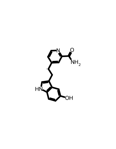 NC(=O)c1cc([CH]Cc2c[nH]c3ccc(O)cc23)ccn1